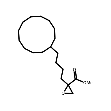 COC(=O)C1(CCCCC2CCCCCCCCCCC2)CO1